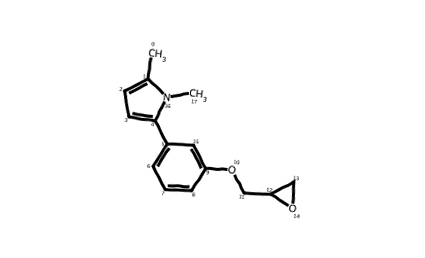 Cc1ccc(-c2cccc(OCC3CO3)c2)n1C